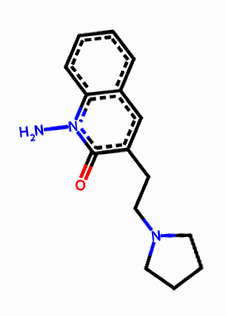 Nn1c(=O)c(CCN2CCCC2)cc2ccccc21